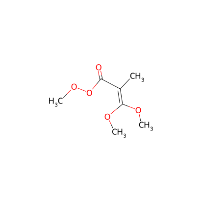 COOC(=O)C(C)=C(OC)OC